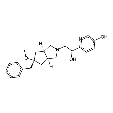 CO[C@]1(Cc2ccccc2)C[C@H]2CN(CC(O)c3ccc(O)cn3)C[C@H]2C1